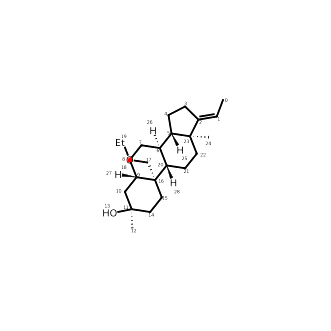 CC=C1CC[C@H]2[C@@H]3CC[C@H]4C[C@](C)(O)CC[C@]4(COCC)[C@H]3CC[C@]12C